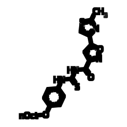 CCCCCCCCOc1ccc(NC(=S)NC(=O)c2cc(-c3csc(C)n3)on2)cc1